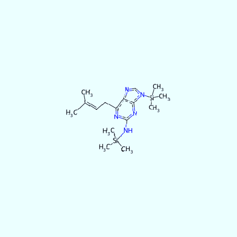 CC(C)=CCc1nc(N[Si](C)(C)C)nc2c1ncn2[Si](C)(C)C